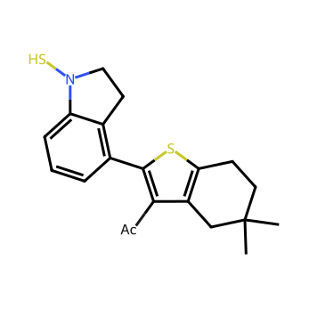 CC(=O)c1c(-c2cccc3c2CCN3S)sc2c1CC(C)(C)CC2